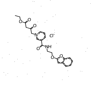 CCOC(=O)CC(=O)C[n+]1cccc(C(=O)NCCOc2cc3ccccc3o2)c1.[Cl-]